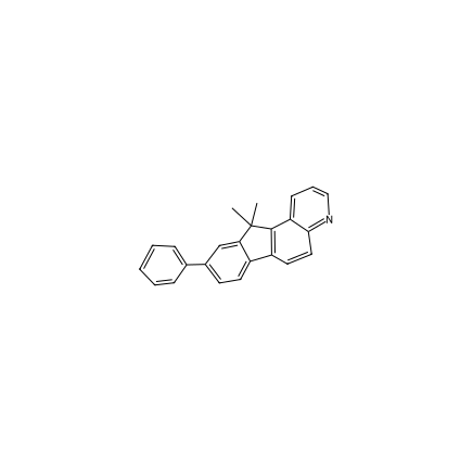 CC1(C)c2cc(-c3ccccc3)ccc2-c2ccc3ncccc3c21